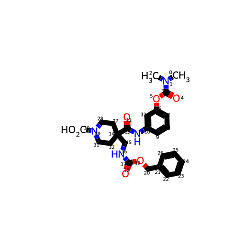 CN(C)C(=O)Oc1cccc(NC(=O)C2(CNC(=O)OCc3ccccc3)CCN(C(=O)O)CC2)c1